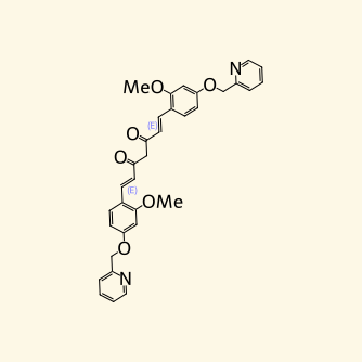 COc1cc(OCc2ccccn2)ccc1/C=C/C(=O)CC(=O)/C=C/c1ccc(OCc2ccccn2)cc1OC